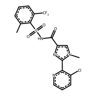 Cc1cccc(C(F)(F)F)c1S(=O)(=O)NC(=O)c1cn(C)c(-c2ncccc2Cl)n1